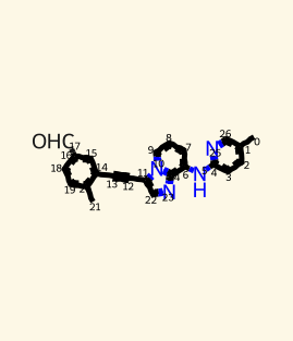 Cc1ccc(Nc2cccn3c(C#Cc4cc(C=O)ccc4C)cnc23)nc1